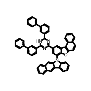 c1ccc(-c2cccc(C3=NC(c4cc(-n5c6ccccc6c6cc7ccccc7cc65)c5oc6ccc7ccccc7c6c5c4)=NC(c4cccc(-c5ccccc5)c4)N3)c2)cc1